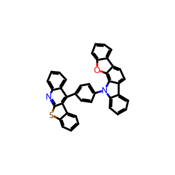 c1ccc2c(-c3ccc(-n4c5ccccc5c5ccc6c7ccccc7oc6c54)cc3)c3c(nc2c1)sc1ccccc13